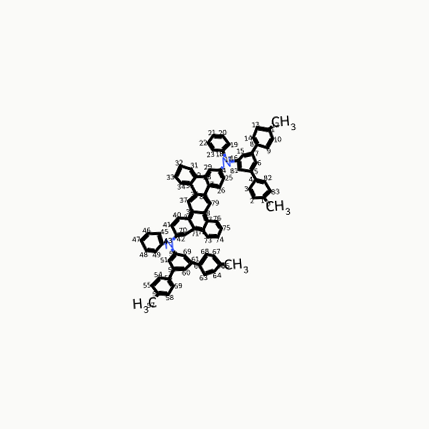 Cc1ccc(-c2cc(-c3ccc(C)cc3)cc(N(c3ccccc3)c3ccc4c(c3)c3ccccc3c3cc5c6ccc(N(c7ccccc7)c7cc(-c8ccc(C)cc8)cc(-c8ccc(C)cc8)c7)cc6c6ccccc6c5cc43)c2)cc1